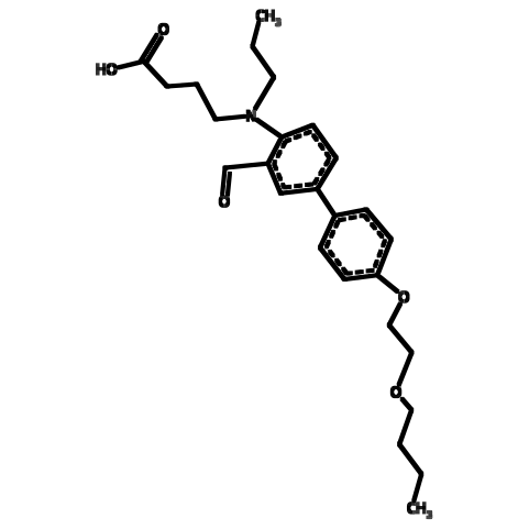 CCCCOCCOc1ccc(-c2ccc(N(CCC)CCCC(=O)O)c(C=O)c2)cc1